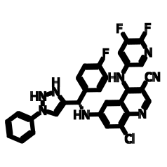 N#Cc1cnc2c(Cl)cc(N[C@H](C3=CN(c4ccccc4)NN3)c3ccc(F)cc3)cc2c1Nc1cnc(F)c(F)c1